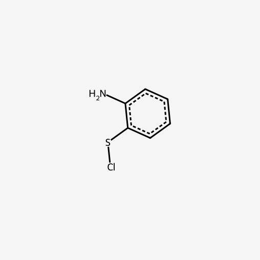 Nc1ccccc1SCl